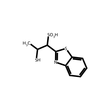 CC(S)C(c1nc2ccccc2s1)S(=O)(=O)O